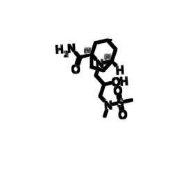 CN(CC(O)CN1[C@@H]2C[CH]C[C@@]1(C(N)=O)CC2)S(C)(=O)=O